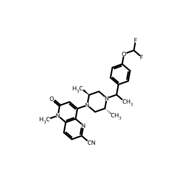 CC(c1ccc(OC(F)F)cc1)N1C[C@H](C)N(c2cc(=O)n(C)c3ccc(C#N)nc23)C[C@H]1C